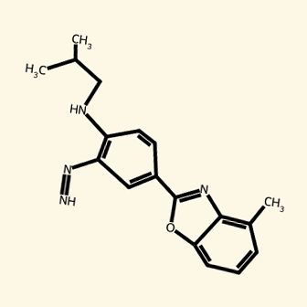 Cc1cccc2oc(-c3ccc(NCC(C)C)c(N=N)c3)nc12